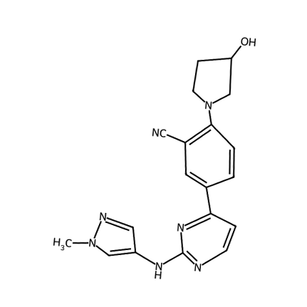 Cn1cc(Nc2nccc(-c3ccc(N4CCC(O)C4)c(C#N)c3)n2)cn1